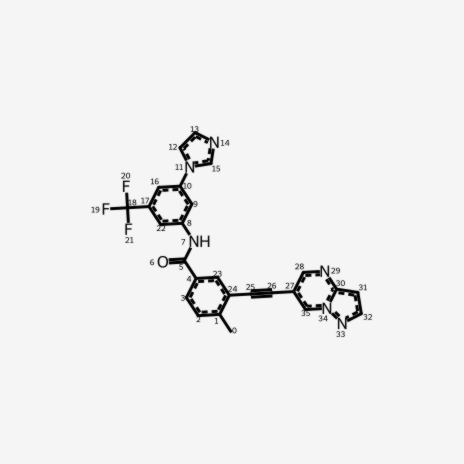 Cc1ccc(C(=O)Nc2cc(-n3ccnc3)cc(C(F)(F)F)c2)cc1C#Cc1cnc2ccnn2c1